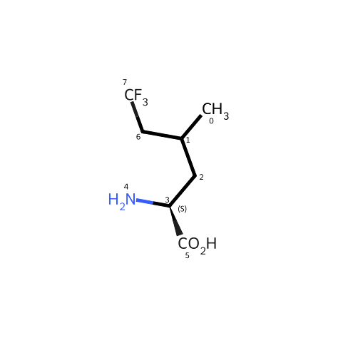 CC(C[C@H](N)C(=O)O)CC(F)(F)F